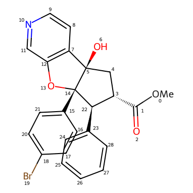 COC(=O)[C@H]1C[C@@]2(O)c3ccncc3O[C@@]2(c2ccc(Br)cc2)[C@@H]1c1ccccc1